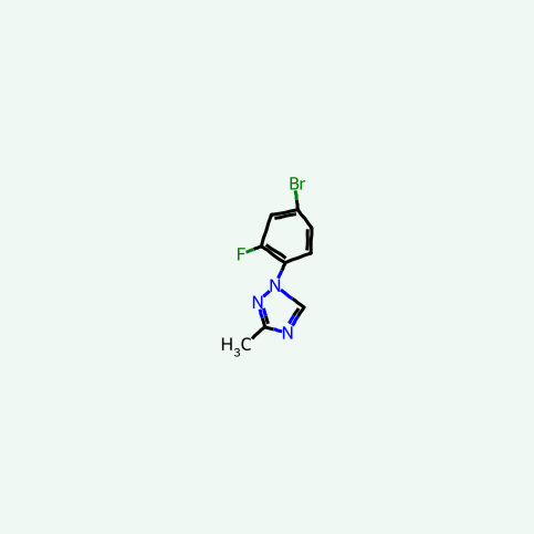 Cc1ncn(-c2ccc(Br)cc2F)n1